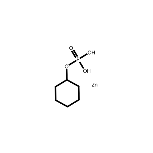 O=P(O)(O)OC1CCCCC1.[Zn]